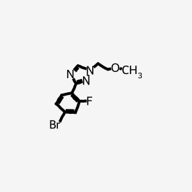 COCCn1cnc(-c2ccc(Br)cc2F)n1